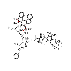 CCC[C@H](NC(=O)[C@@H](CCCNC(=N)NS(=O)(=O)c1c(C)c(C)c2c(c1C)C[C@@H](C)C(C)(C)O2)NC(=O)[C@@H](CCC[C@H](C)NC(=O)OC(C)(C)C)NC(=O)COc1ccc2ccccc2c1-c1c(OC[C@@H](C)C(C)C)ccc2ccccc12)C(=O)OCc1ccccc1